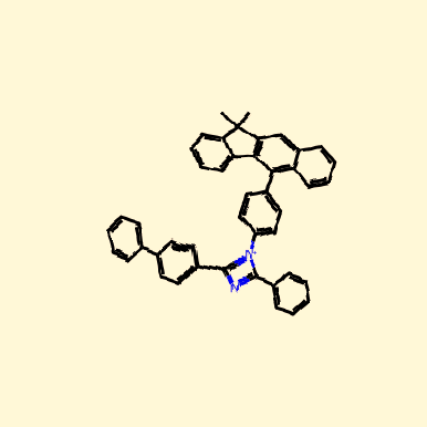 CC1(C)c2ccccc2-c2c1cc1ccccc1c2-c1ccc([N+]2=C(c3ccc(-c4ccccc4)cc3)N=C2c2ccccc2)cc1